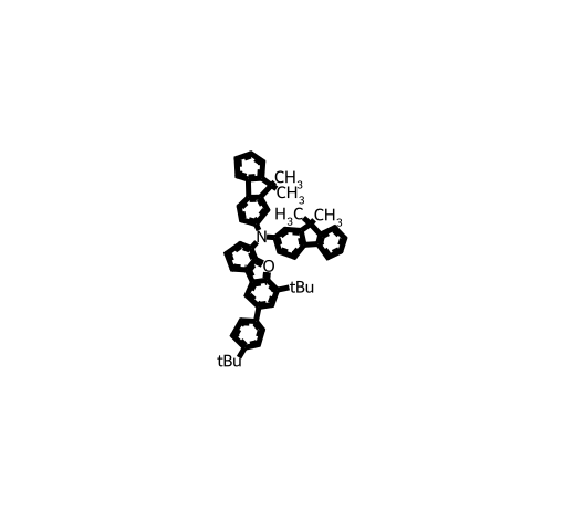 CC(C)(C)c1ccc(-c2cc(C(C)(C)C)c3oc4c(N(c5ccc6c(c5)C(C)(C)c5ccccc5-6)c5ccc6c(c5)C(C)(C)c5ccccc5-6)cccc4c3c2)cc1